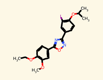 CCOc1ccc(-c2nc(-c3ccc(OC(C)C)c(I)c3)no2)cc1OC